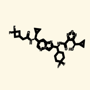 O=C(CC1CC(F)(F)C1)N[C@@H](c1cnn2cc([C@@H](NC(=O)c3nonc3[C@H](O)C3CC3)C3CCC(F)(F)CC3)nc2c1)C1CC1